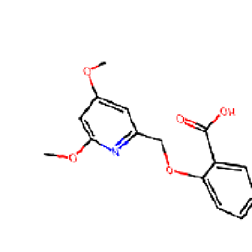 COc1cc(COc2ccccc2C(=O)O)nc(OC)c1